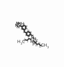 CCCCc1nc(C(F)(F)CCCC)nn1Cc1ccc(Cc2cccc(-c3nnn[nH]3)c2)cc1